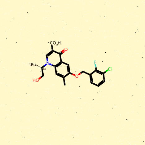 Cc1cc2c(cc1OCc1cccc(Cl)c1F)c(=O)c(C(=O)O)cn2[C@H](CO)C(C)(C)C